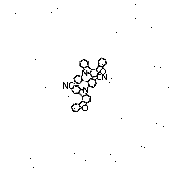 N#Cc1ccc(-n2c3ccccc3c3c4c(ccc32)oc2ccccc24)c(-c2cc(C#N)ccc2-n2c3ccccc3c3c4c(ccc32)oc2ccccc24)c1